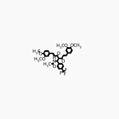 COc1ccc(/C=C/C(=O)C(C(=O)/C=C/c2ccc(OC)c(OC)c2)C(NC(C)=O)c2ccc(C(F)(F)F)cc2)cc1OC